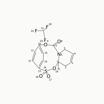 CC12CC=CCN1C(=O)Oc1ccc(cc1)S(=O)(=O)O2.FC(F)F